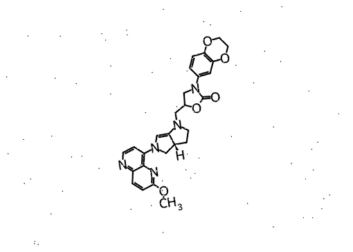 COc1ccc2nccc(N3C=C4[C@H](CCN4CC4CN(c5ccc6c(c5)OCCO6)C(=O)O4)C3)c2n1